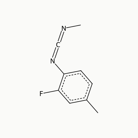 CN=C=Nc1ccc(C)cc1F